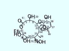 CC[C@H]1OC(=O)[C@H](C)[C@@H](O)[C@H](C)[C@@H](O[C@@H]2O[C@H](C)C=C[C@H]2O)C(C)(O)C[C@@H](C)/C(=N\O)[C@H](C)[C@@H](O)[C@]1(C)O